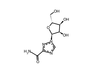 NC(=O)c1ncn([C@H]2O[C@H](CO)[C@@H](O)[C@H]2O)n1